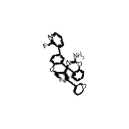 NC1=NC2(c3ccccc3O1)c1cc(-c3cccnc3F)ccc1Oc1cnc(C3=CCCOC3)cc12